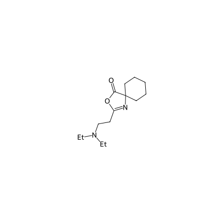 CCN(CC)CCC1=NC2(CCCCC2)C(=O)O1